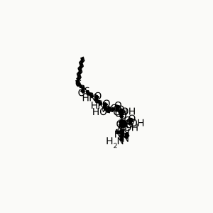 CCCCCCCCC=C=CCC(=O)SCCNC(=O)CCNC(=O)[C@H](O)C(C)(C)COP(=O)(O)OP(=O)(O)OC[C@H]1O[C@H](n2cnc3c(N)ncnc32)[C@H](O)[C@@H]1OP(=O)(O)O